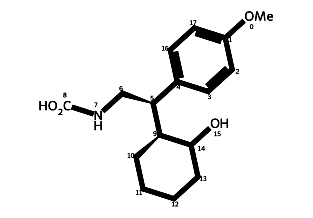 COc1ccc([C@H](CNC(=O)O)[C@@H]2CCCCC2O)cc1